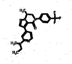 CCN(C)c1cc(-c2cnn3c2C(=O)N(c2ccc(C(F)(F)F)cc2)C[C@@H]3C)ccn1